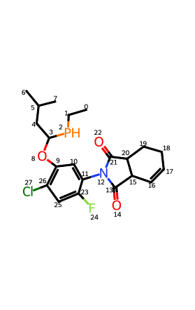 CCPC(CC(C)C)Oc1cc(N2C(=O)C3C=CCCC3C2=O)c(F)cc1Cl